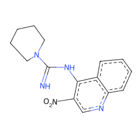 N=C(Nc1c([N+](=O)[O-])cnc2ccccc12)N1CCCCC1